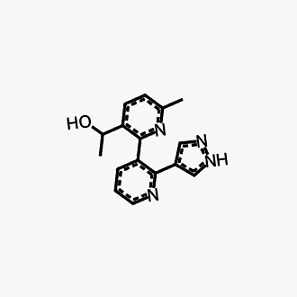 Cc1ccc(C(C)O)c(-c2cccnc2-c2cn[nH]c2)n1